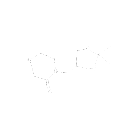 CC1(C)OCC(CN2CCNCC2=O)O1